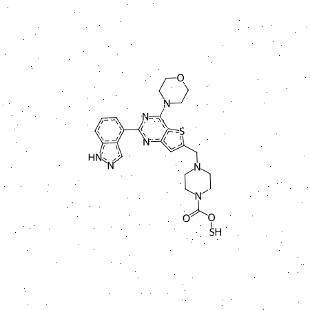 O=C(OS)N1CCN(Cc2cc3nc(-c4cccc5[nH]ncc45)nc(N4CCOCC4)c3s2)CC1